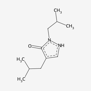 CC(C)Cc1c[nH]n(CC(C)C)c1=O